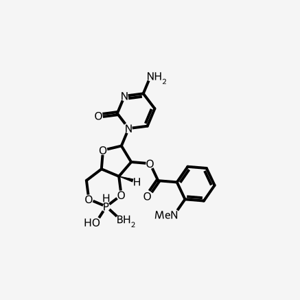 B[PH]1(O)OCC2OC(n3ccc(N)nc3=O)C(OC(=O)c3ccccc3NC)[C@@H]2O1